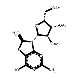 C=C1Sc2c(O)nc(N)nc2N1[C@@H]1O[C@H](COC(C)=O)[C@H](OC(C)=O)[C@H]1OC(C)=O